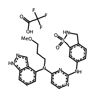 COCCCN(c1ccnc(Nc2ccc3c(c2)S(=O)(=O)NC3)n1)c1cccc2[nH]ncc12.O=C(O)C(F)(F)F